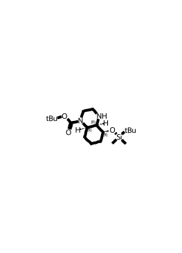 CC(C)(C)OC(=O)N1CCN[C@@H]2[C@H]1CCC[C@H]2O[Si](C)(C)C(C)(C)C